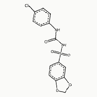 O=C(Nc1ccc(Cl)cc1)NS(=O)(=O)c1ccc2c(c1)OCO2